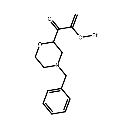 C=C(OCC)C(=O)C1CN(Cc2ccccc2)CCO1